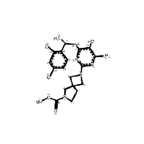 Cc1nc(N2CC3(CCN(C(=O)OC(C)(C)C)C3)C2)nc(N[C@H](C)c2ccc(Cl)cc2Cl)c1Cl